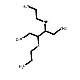 NCCNC(CC=O)C(CC=O)SCCN